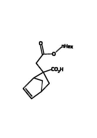 CCCCCCOC(=O)CC1(C(=O)O)CC2C=CC1C2